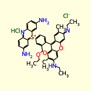 CC/N=c1/cc2oc3cc(NCC)c(C)cc3c(-c3ccccc3C(=O)OCC)c-2cc1C.Cl.Nc1ccc2nc3ccc(N)cc3[s+]c2c1.[Cl-]